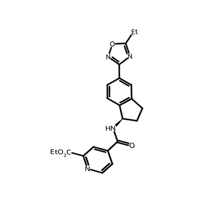 CCOC(=O)c1cc(C(=O)N[C@@H]2CCc3cc(-c4noc(CC)n4)ccc32)ccn1